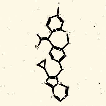 C/C(C#N)=C1/c2ccc(Cc3c(C4CC4)nc4ncccn34)cc2COc2cc(F)ccc21